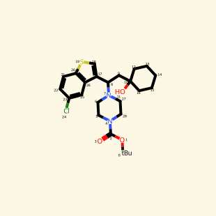 CC(C)(C)OC(=O)N1CCN(C(CC2(O)CCCCC2)c2csc3ccc(Cl)cc23)CC1